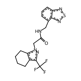 O=C(Cn1nc(C(F)(F)F)c2c1CCCC2)NCc1cccc2nsnc12